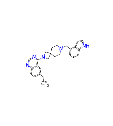 FC(F)(F)Cc1ccc2ncnc(N3CC4(CCN(Cc5cccc6[nH]ccc56)CC4)C3)c2c1